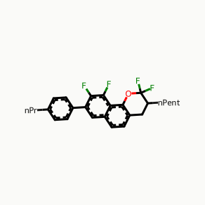 CCCCCC1Cc2ccc3cc(-c4ccc(CCC)cc4)c(F)c(F)c3c2OC1(F)F